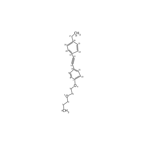 CCCOCCOc1ccc(C#Cc2ccc(CC)cc2)cc1